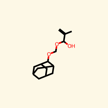 C=C(C)C(O)OCOC1C2CC3CC(C2)CC1C3